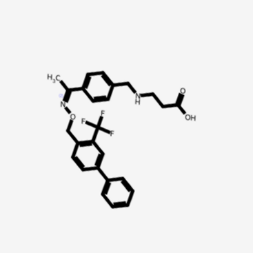 C/C(=N/OCc1ccc(-c2ccccc2)cc1C(F)(F)F)c1ccc(CNCCC(=O)O)cc1